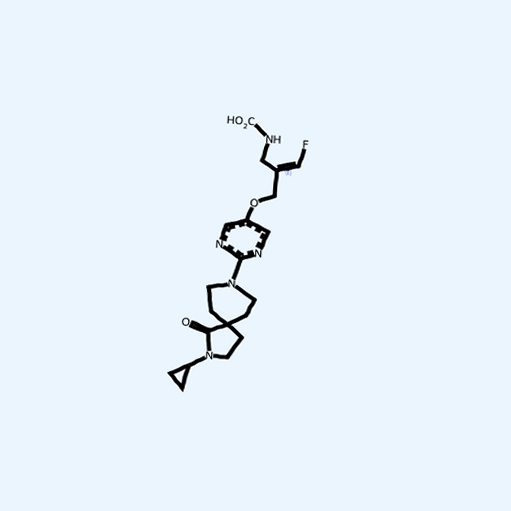 O=C(O)NC/C(=C\F)COc1cnc(N2CCC3(CC2)CCN(C2CC2)C3=O)nc1